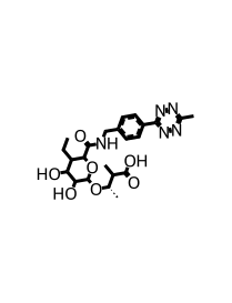 CCC1C(C(=O)NCc2ccc(-c3nnc(C)nn3)cc2)OC(O[C@@H](C)C(C)C(=O)O)C(O)C1O